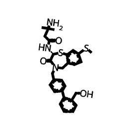 CSc1ccc2c(c1)S[C@@H](NC(=O)CC(C)(C)N)C(=O)N(Cc1ccc(-c3ccccc3CO)cc1)C2